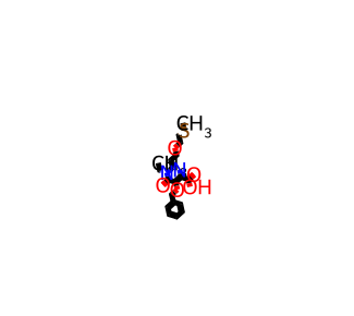 CCn1c(CCOCCSC)nc(C(=O)O)c(OCc2ccccc2)c1=O